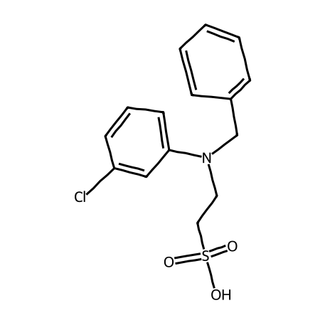 O=S(=O)(O)CCN(Cc1ccccc1)c1cccc(Cl)c1